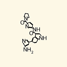 Nc1cncc(-c2ccc3c(c2)C(C(=O)Nc2ccc(C(=O)N4CCCC4)nc2)=CCN3)c1